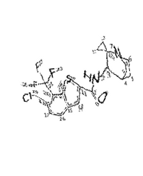 O=C(NC1C2CCN(CC2)C12CC2)c1cc2ccc(Cl)c(C(F)(F)F)c2s1